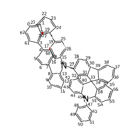 c1ccc(-c2ccc(-c3ccccc3N(c3ccc(-c4ccccc4)cc3)c3ccc4c(c3)C3(c5ccccc5-4)c4ccccc4N(c4ccccc4)c4ccccc43)cc2)cc1